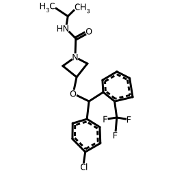 CC(C)NC(=O)N1CC(OC(c2ccc(Cl)cc2)c2ccccc2C(F)(F)F)C1